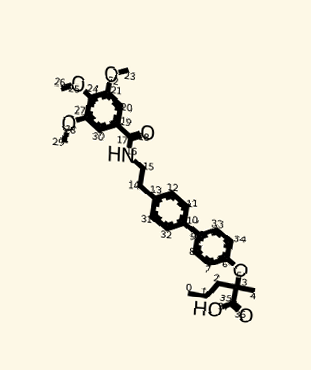 CCCC(C)(Oc1ccc(-c2ccc(CCNC(=O)c3cc(OC)c(OC)c(OC)c3)cc2)cc1)C(=O)O